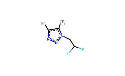 CC(C)c1nnn(CC(F)F)c1C(F)(F)F